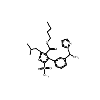 CCCCOC(=O)c1c(CC(C)C)sc(S(N)(=O)=O)c1-c1cccc(C(N)n2cccn2)c1